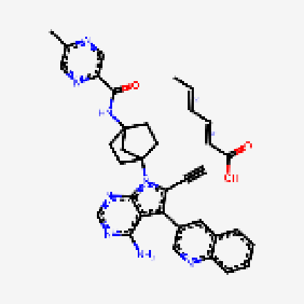 C#Cc1c(-c2cnc3ccccc3c2)c2c(N)ncnc2n1C12CCC(NC(=O)c3cnc(C)cn3)(CC1)C2.C/C=C/C=C/C(=O)O